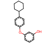 Oc1cccc(Oc2c[c]c(C3CCCCC3)cc2)c1